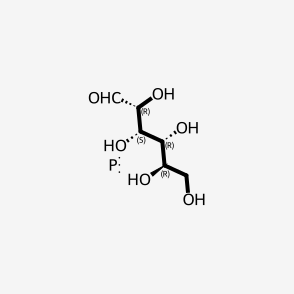 O=C[C@H](O)[C@@H](O)[C@H](O)[C@H](O)CO.[P]